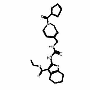 CCOC(=O)c1c(NC(=O)NCC2CCN(C(=O)C3CCCC3)CC2)sc2c1CCCC2